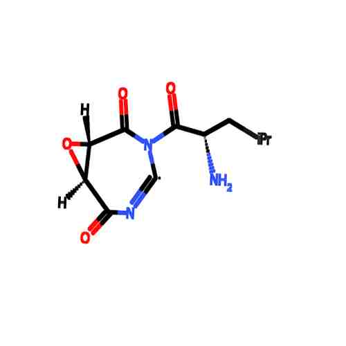 CC(C)C[C@H](N)C(=O)N1[C]=NC(=O)[C@H]2O[C@@H]2C1=O